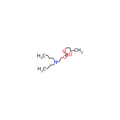 CCCCN(CCCC)CCOB1OCCC(C)O1